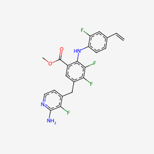 C=Cc1ccc(Nc2c(C(=O)OC)cc(Cc3ccnc(N)c3F)c(F)c2F)c(F)c1